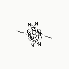 CCCCCCCCn1c(=O)c2c3sc(=C(C#N)C#N)sc3c3c(=O)n(CCCCCCCC)c(=O)c4c5sc(=C(C#N)C#N)sc5c(c1=O)c2c34